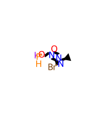 O=C1Cn2c(C3CC3)nc(Br)c2CN1CCOPI